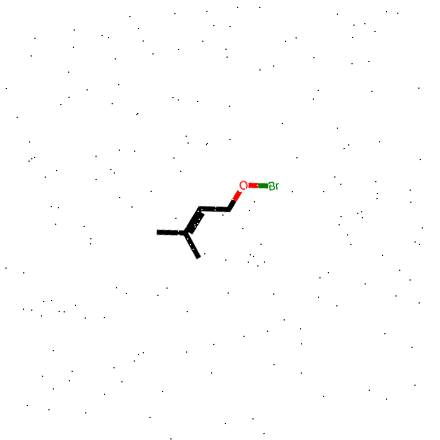 CC(C)=CCOBr